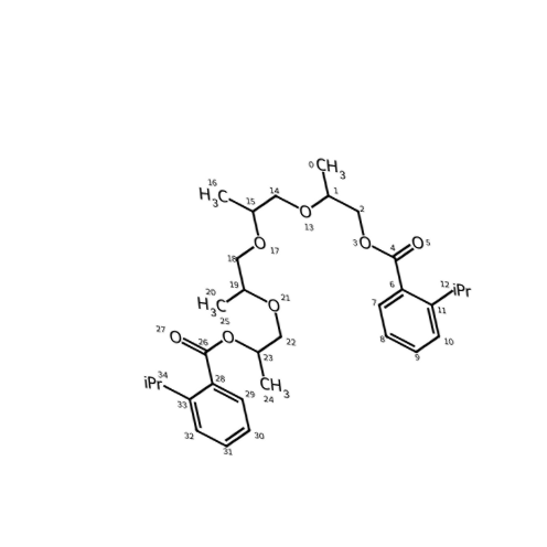 CC(COC(=O)c1ccccc1C(C)C)OCC(C)OCC(C)OCC(C)OC(=O)c1ccccc1C(C)C